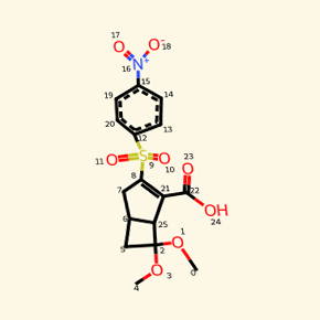 COC1(OC)CC2CC(S(=O)(=O)c3ccc([N+](=O)[O-])cc3)=C(C(=O)O)C21